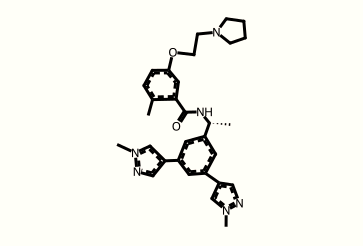 Cc1ccc(OCCN2CCCC2)cc1C(=O)N[C@H](C)c1cc(-c2cnn(C)c2)cc(-c2cnn(C)c2)c1